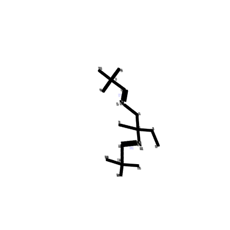 CCC(C)(C/N=C/C(C)(C)C)/N=C/C(C)(C)C